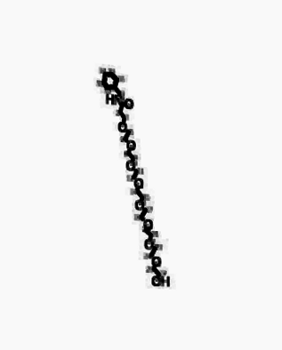 O=C(CCOCCOCCOCCOCCOCCOCCOCCOCCO)NCc1ccccc1